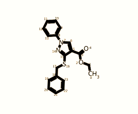 CCOC(=O)c1cn(-c2ccccc2)nc1SCc1ccccc1